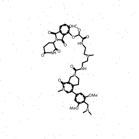 COc1cc(-c2cn(C)c(=O)c3c2CCN(C(=O)NCCN(C)CCNC(=O)C(OC=O)Oc2cccc4c2C(=O)N(C2CCC(=O)NC2=O)C4=O)C3)cc(OC)c1CN(C)C